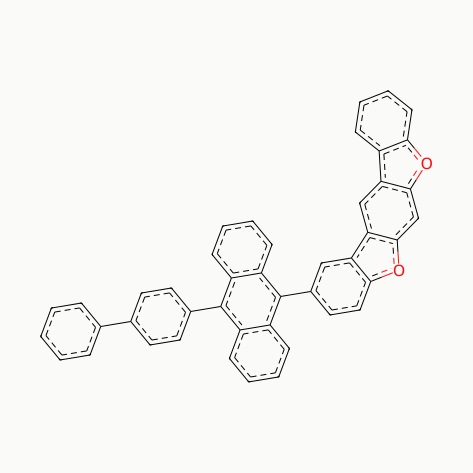 c1ccc(-c2ccc(-c3c4ccccc4c(-c4ccc5oc6cc7oc8ccccc8c7cc6c5c4)c4ccccc34)cc2)cc1